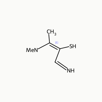 CN/C(C)=C(/S)C=N